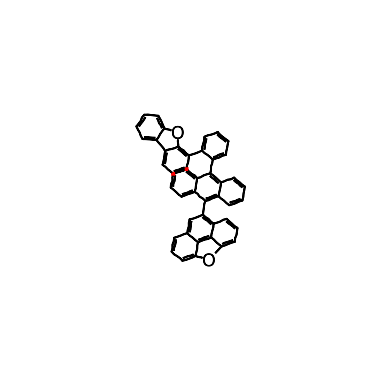 c1ccc(-c2cccc3c2oc2ccccc23)c(-c2c3ccccc3c(-c3cc4cccc5oc6cccc3c6c45)c3ccccc23)c1